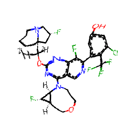 [2H]C([2H])(Oc1nc(N2CCOC[C@H]3[C@H](F)[C@H]32)c2cnc(-c3cc(O)cc(Cl)c3C(F)(F)F)c(F)c2n1)[C@@]12CCCN1C[C@H](F)C2